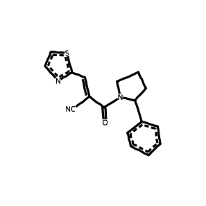 N#CC(=Cc1nccs1)C(=O)N1CCCC1c1ccccc1